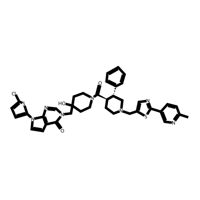 Cc1ccc(-c2ncc(CN3CC[C@@H](C(=O)N4CCC(O)(Cn5cnc6c(ccn6-c6ccc(Cl)s6)c5=O)CC4)[C@H](c4ccccc4)C3)s2)cn1